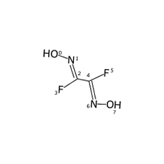 ON=C(F)C(F)=NO